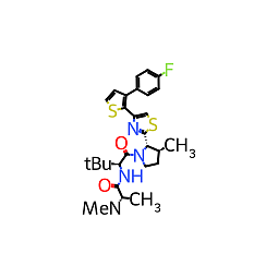 CN[C@@H](C)C(=O)N[C@H](C(=O)N1CC[C@H](C)[C@H]1c1nc(-c2sccc2-c2ccc(F)cc2)cs1)C(C)(C)C